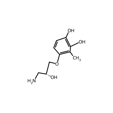 Cc1c(OC[C@H](O)CN)ccc(O)c1O